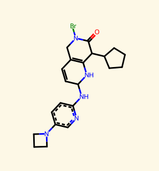 O=C1C(C2CCCC2)C2=C(C=CC(Nc3ccc(N4CCC4)cn3)N2)CN1Br